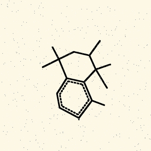 Cc1[c]ccc2c1C(C)(C)C(C)CC2(C)C